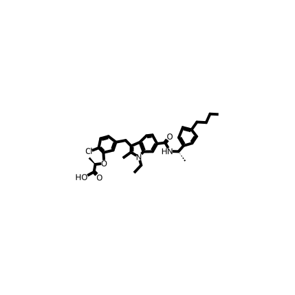 CCCCc1ccc([C@H](C)NC(=O)c2ccc3c(Cc4ccc(Cl)c(O[C@H](C)C(=O)O)c4)c(C)n(CC)c3c2)cc1